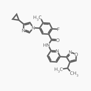 Cc1cc(F)c(C(=O)Nc2cccc(-c3nocc3C(C)C)n2)cc1-n1cnc(C2CC2)c1